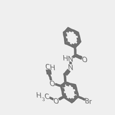 C#COc1c(C=NNC(=O)c2ccccc2)cc(Br)cc1OC